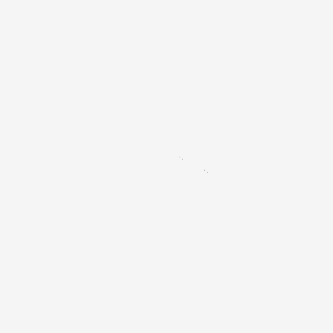 Cc1cccc(C)c1N1CCN(C(=O)c2cc3c(s2)-c2ccccc2SC3)CC1